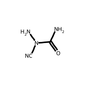 N#CN(N)C(N)=O